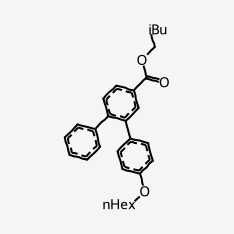 CCCCCCOc1ccc(-c2cc(C(=O)OCC(C)CC)ccc2-c2ccccc2)cc1